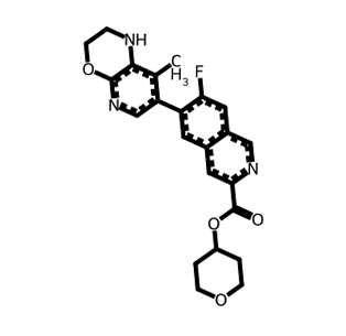 Cc1c(-c2cc3cc(C(=O)OC4CCOCC4)ncc3cc2F)cnc2c1NCCO2